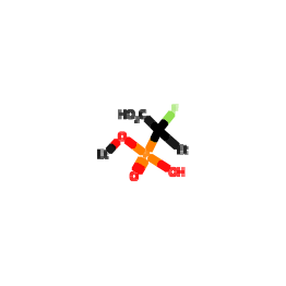 CCOP(=O)(O)C(F)(CC)C(=O)O